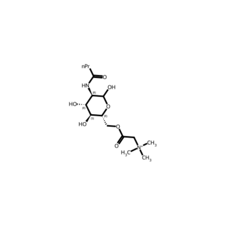 CCCC(=O)N[C@H]1C(O)O[C@H](COC(=O)C[N+](C)(C)C)[C@@H](O)[C@@H]1O